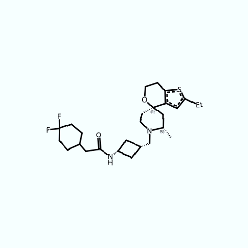 CCc1cc2c(s1)CCO[C@@]21CCN(C[C@H]2C[C@@H](NC(=O)CC3CCC(F)(F)CC3)C2)[C@@H](C)C1